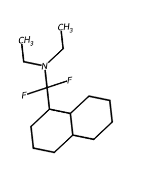 CCN(CC)C(F)(F)C1CCCC2CCCCC21